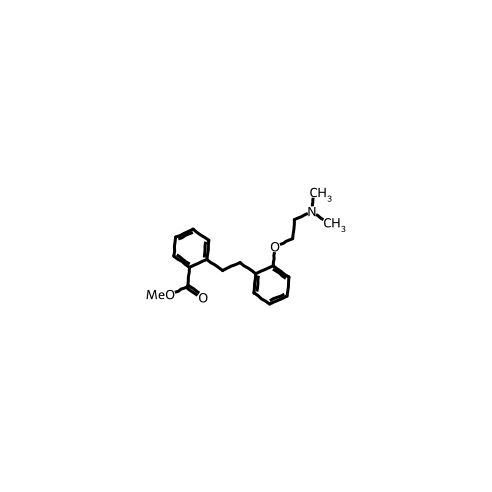 COC(=O)c1ccccc1CCc1ccccc1OCCN(C)C